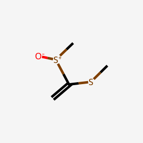 C=C(SC)[S+](C)[O-]